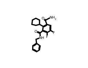 NC(=O)c1cc(F)c(F)c(C(=O)NCc2ccccc2)c1C1CCCCC1